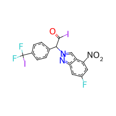 O=C(I)C(c1ccc(C(F)(F)I)cc1)n1cc2c([N+](=O)[O-])cc(F)cc2n1